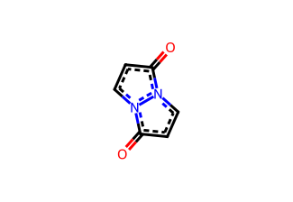 O=c1ccn2c(=O)ccn12